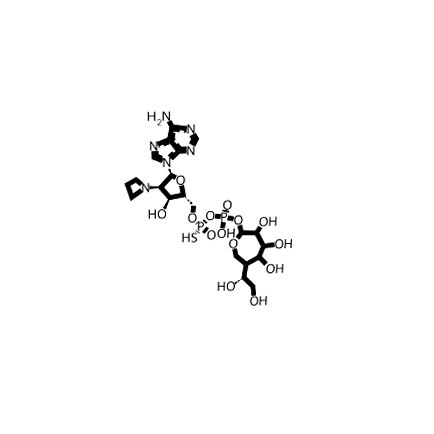 Nc1ncnc2c1ncn2[C@@H]1O[C@H](COP(=O)(S)OP(=O)(O)OC2OCC([C@@H](O)CO)C(O)C(O)C2O)[C@@H](O)[C@H]1N1CCC1